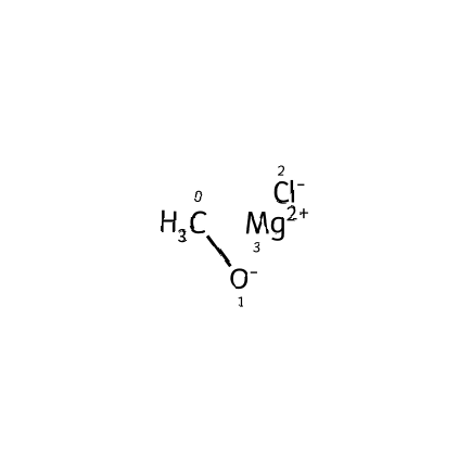 C[O-].[Cl-].[Mg+2]